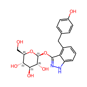 OC[C@H]1O[C@@H](Oc2n[nH]c3cccc(Cc4ccc(O)cc4)c23)[C@H](O)[C@@H](O)[C@@H]1O